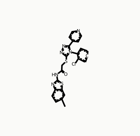 Cc1ccc2nc(NC(=O)CSc3nnc(-c4ccncc4)n3-c3ccccc3Cl)sc2c1